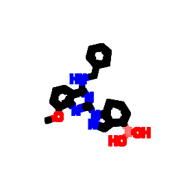 COc1cccc2c(NCc3ccccc3)nc(-n3ncc4c(B(O)O)cccc43)nc12